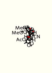 CCCC(=O)O[C@H]1CS[C@@H]2c3c(OC(C)=O)c(C)c4c(c3[C@H](COC1=O)N1C2[C@H]2N[C@@H](Cc3cc(C)c(OC)c(OCOC)c32)[C@@H]1C#N)OCO4